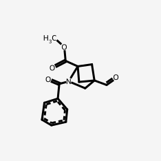 COC(=O)C12CC(C=O)(CN1C(=O)c1ccccc1)C2